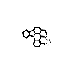 Cc1cccc2c1c1c3c(ccc4c5ccccc5n2c43)cc[n+]1C